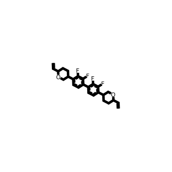 C=CC1CCC(c2ccc(-c3ccc(C4CCC(C=C)OC4)c(F)c3F)c(F)c2F)CO1